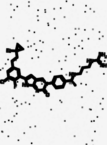 CCC1(CCc2cc(Cl)c(F)c(-c3cc4cn(-c5ccc([C@H](C)NCCCNC(=N)N)cc5)c(=O)nc4[nH]3)c2)CC1